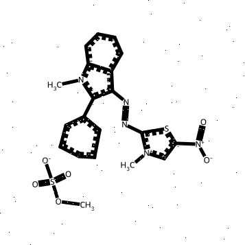 COS(=O)(=O)[O-].Cn1c(-c2ccccc2)c(N=Nc2sc([N+](=O)[O-])c[n+]2C)c2ccccc21